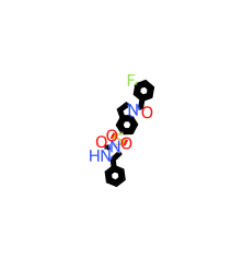 O=C(c1cccc(F)c1)N1CCc2cc(S(=O)(=O)N3CC(c4ccccc4)NC3=O)ccc21